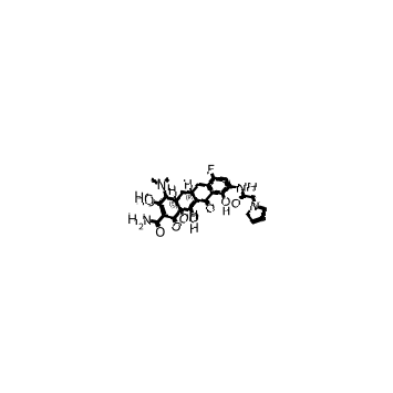 CN(C)C1C(O)=C(C(N)=O)C(=O)[C@@]2(O)C(O)=C3C(=O)c4c(O)c(NC(=O)CN5CCCC5)cc(F)c4C[C@H]3C[C@@H]12